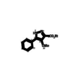 CCOC(=O)c1n[nH]c(-c2ccccc2)c1OC